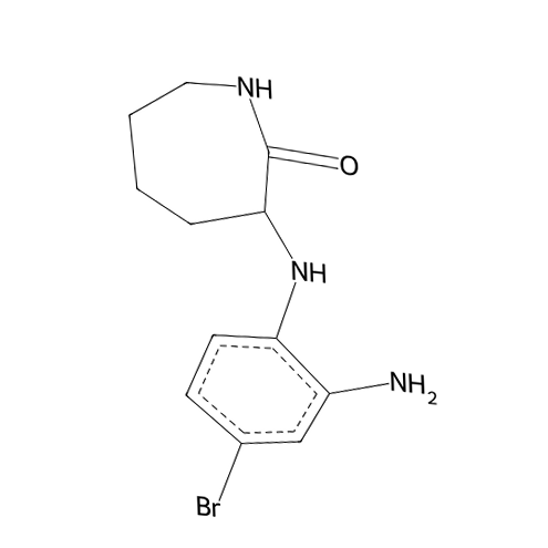 Nc1cc(Br)ccc1NC1CCCCNC1=O